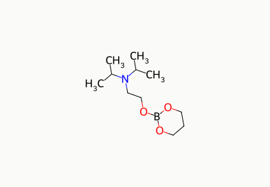 CC(C)N(CCOB1OCCCO1)C(C)C